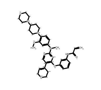 C=CC(=O)Nc1cccc(Oc2nc(N(C)c3ccc(N4CCC(N5CCOCC5)CC4)c(OC)c3)ncc2C2=CCOCC2)c1